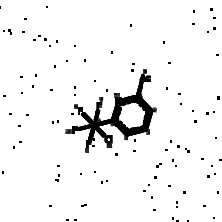 CC(=O)c1cccc(S(F)(F)(F)(F)Cl)n1